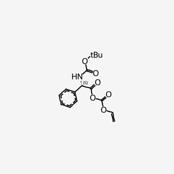 C=COC(=O)OC(=O)[C@@H](NC(=O)OC(C)(C)C)c1ccccc1